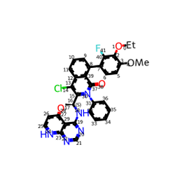 CCOc1c(OC)ccc(-c2cccc3c(Cl)c([C@H](C)Nc4ncnc5[nH]ccc(=O)c45)n(-c4ccccc4)c(=O)c23)c1F